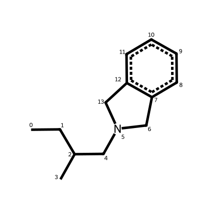 CCC(C)CN1Cc2ccccc2C1